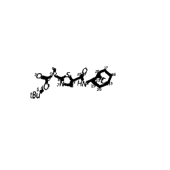 CN(C(=O)OC(C)(C)C)c1ncc(C(=O)NC2CC3CCC2CC3)s1